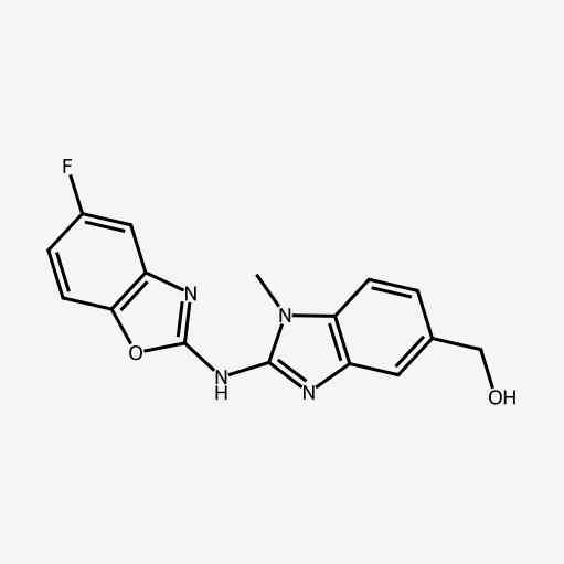 Cn1c(Nc2nc3cc(F)ccc3o2)nc2cc(CO)ccc21